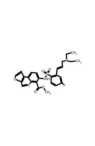 CCN(CC)CC=Cc1cc(F)ccc1S(=O)(=O)[AsH]c1ccc2c(ncc3occc32)c1C(=O)OC